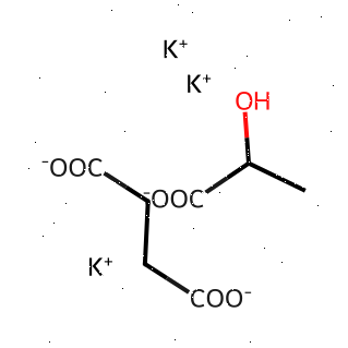 CC(O)C(=O)[O-].O=C([O-])CCC(=O)[O-].[K+].[K+].[K+]